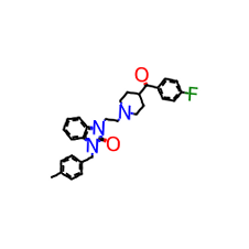 Cc1ccc(Cn2c(=O)n(CCN3CCC(C(=O)c4ccc(F)cc4)CC3)c3ccccc32)cc1